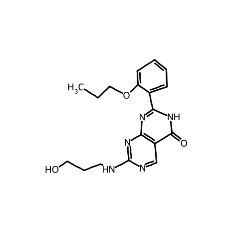 CCCOc1ccccc1-c1nc2nc(NCCCO)ncc2c(=O)[nH]1